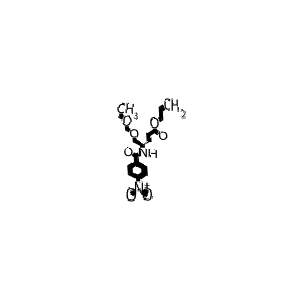 C=CCOC(=O)CC[C@@H](COCOCC)NC(=O)c1ccc([N+](=O)[O-])cc1